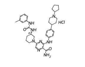 Cc1cccc(NC(=O)N[C@@H]2CCCN(c3cnc(C(N)=O)c(Nc4ccc(C5CCN(C6CCCC6)CC5)cc4)n3)C2)c1.Cl